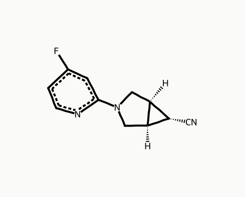 N#C[C@@H]1[C@H]2CN(c3cc(F)ccn3)C[C@@H]12